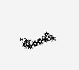 CC(C)(C)OC(=O)N1CCC[C@H]1c1nnc(-c2ccc(-c3ccc(-c4cnc(C5CCCN5C(=O)O)[nH]4)cc3)cc2)o1